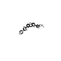 Cn1cc(-n2ccc(=O)c(Cc3cccc(-c4ncc(N5CCOCC5)cn4)c3)n2)cn1